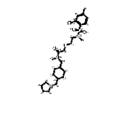 Cc1ccc(S(=O)(=O)N(C)CCOCC(=O)N(C)CC2CCC(CN3CCCC3)CC2)c(Cl)c1